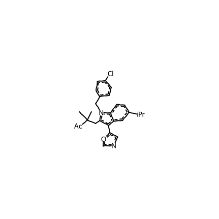 CC(=O)C(C)(C)Cc1c(-c2cnco2)c2cc(C(C)C)ccc2n1Cc1ccc(Cl)cc1